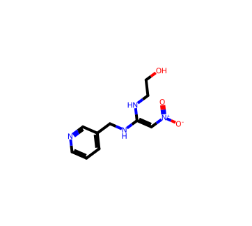 O=[N+]([O-])C=C(NCCO)NCc1cccnc1